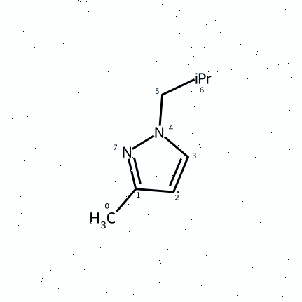 Cc1[c]cn(CC(C)C)n1